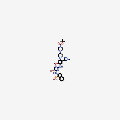 COc1cc(N2CCC(N3CCN(C(=O)OC(C)(C)C)CC3)CC2)c(-c2cnn(C)c2)cc1Nc1ncc(Br)c(Nc2ccc3ccccc3c2P(C)(C)=O)n1